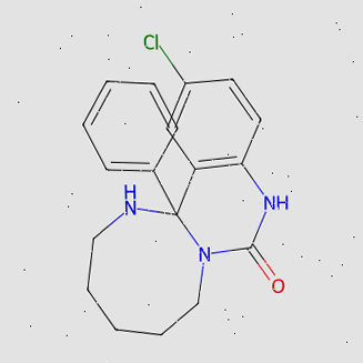 O=C1Nc2ccc(Cl)cc2C2(c3ccccc3)NCCCCCN12